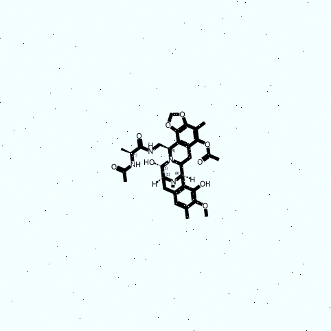 COc1c(C)cc2c(c1O)[C@@H]1C3Cc4c(OC(C)=O)c(C)c5c(c4[C@H](CNC(=O)[C@H](C)NC(C)=O)N3[C@@H](O)[C@H](C2)N1C)OCO5